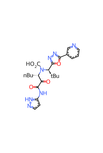 CCCC[C@@H](C(=O)C(=O)Nc1ccn[nH]1)N(C(=O)O)[C@@H](c1nnc(-c2cccnc2)o1)C(C)(C)C